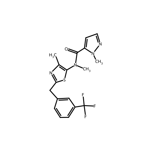 Cc1nc(Cc2cccc(C(F)(F)F)c2)sc1N(C)C(=O)c1ccnn1C